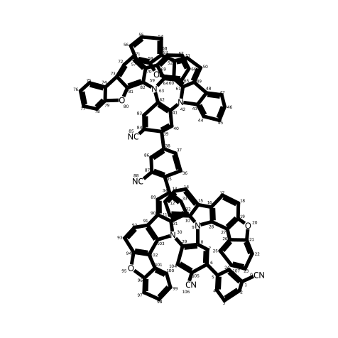 N#Cc1cccc(-c2cc(-n3c4ccccc4c4ccc5oc6ccccc6c5c43)c(-n3c4ccc(-c5ccc(-c6cc(-n7c8ccccc8c8ccc9c%10ccccc%10oc9c87)c(-n7c8ccccc8c8ccc9c%10ccccc%10oc9c87)cc6C#N)cc5C#N)cc4c4ccc5oc6ccccc6c5c43)cc2C#N)c1